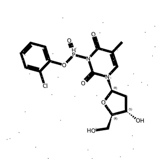 Cc1cn([C@H]2C[C@H](O)[C@@H](CO)O2)c(=O)n([PH](=O)Oc2ccccc2Cl)c1=O